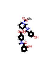 CN(C(=O)c1ccccc1O)c1ccc(C(=O)O[C@@H]2CCCN(C(=O)OC(C)(C)C)C[C@H]2NC(=O)c2ccc(O)cc2)cc1